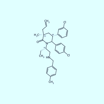 C=CC[C@@]1(C)C[C@H](c2cccc(Cl)c2)C(c2ccc(Cl)cc2)N([C@@H](CC)CNCc2ccc(C)cc2)C1=O